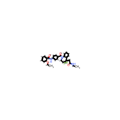 CCNC(=O)C=C1c2ccccc2N(C(=O)c2ccc(NC(=O)c3ccccc3OCC)cc2)CCC1(F)F